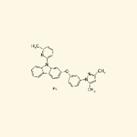 Cc1cccc(-n2c3ccccc3c3ccc(Oc4cccc(-n5nc(C)cc5C)c4)cc32)n1.[Pt]